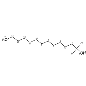 CC(C)(O)CCCCCCCCCCCO